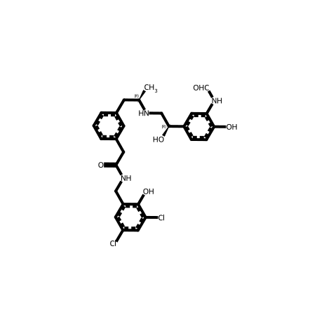 C[C@H](Cc1cccc(CC(=O)NCc2cc(Cl)cc(Cl)c2O)c1)NC[C@H](O)c1ccc(O)c(NC=O)c1